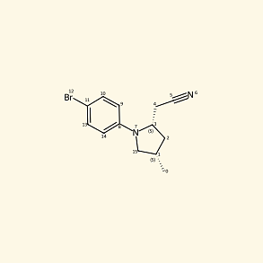 C[C@H]1C[C@@H](CC#N)N(c2ccc(Br)cc2)C1